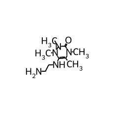 CC1=C(NCCN)N(C)N(C)C(=O)N1C